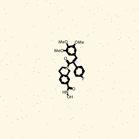 COc1cc(/C=C(\C(=O)N2CCc3ccc(C(=O)NO)cc3C2)c2ccc(F)cc2)cc(OC)c1OC